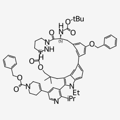 CCn1c(-c2cc(C3=CCN(C(=O)OCc4ccccc4)CC3)cnc2C(C)C)c2c3cc(ccc31)-c1cc(cc(OCc3ccccc3)c1)C[C@H](NC(=O)OC(C)(C)C)C(=O)N1CCC[C@H](N1)C(=O)OCC(C)(C)C2